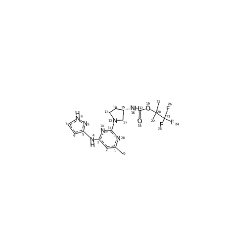 Cc1cc(Nc2cc[nH]n2)nc(N2CC[C@H](NC(=O)OC(C)(C)C(F)(F)F)C2)n1